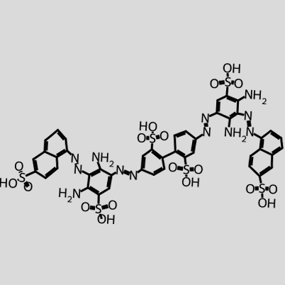 Nc1c(N=Nc2ccc(-c3ccc(N=Nc4cc(S(=O)(=O)O)c(N)c(N=Nc5cccc6cc(S(=O)(=O)O)ccc56)c4N)cc3S(=O)(=O)O)c(S(=O)(=O)O)c2)cc(S(=O)(=O)O)c(N)c1N=Nc1cccc2cc(S(=O)(=O)O)ccc12